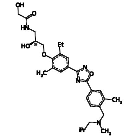 CCc1cc(-c2noc(-c3ccc(CN(C)CC(C)C)c(C)c3)n2)cc(C)c1OC[C@@H](O)CNC(=O)CO